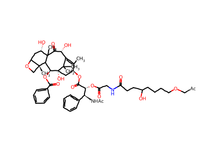 CC(=O)COCCCCC(O)CCC(=O)NCC(=O)O[C@@H](C(=O)O[C@H]1C[C@@]2(O)[C@@H](OC(=O)c3ccccc3)C3C(C)(C(=O)[C@H](O)C(=C1C)C2(C)C)[C@@H](O)CC1OC[C@]13C)[C@@H](NC(C)=O)c1ccccc1